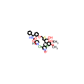 COc1ccc([C@H](Cc2c(Cl)c[n+]([O-])cc2Cl)c2cc(COc3cccc([C@@H](NC(=O)O[C@H]4CN5CCC4CC5)c4ccccc4)c3)sc2C(=O)O)cc1OC